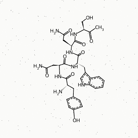 CC(=O)[C@H](CO)NC(=O)[C@H](CC(N)=O)NC(=O)[C@H](Cc1c[nH]c2ccccc12)NC(=O)[C@H](CC(N)=O)NC(=O)[C@@H](N)Cc1ccc(O)cc1